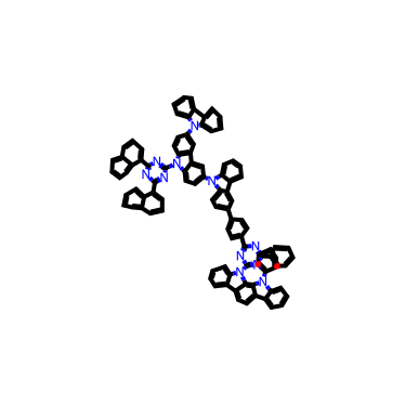 c1ccc(-c2nc(-c3ccc(-c4ccc5c(c4)c4ccccc4n5-c4ccc5c(c4)c4cc(-n6c7ccccc7c7ccccc76)ccc4n5-c4nc(-c5cccc6ccccc56)nc(-c5cccc6ccccc56)n4)cc3)nc(-n3c4ccccc4c4ccc5c6ccccc6n(-c6ccccc6)c5c43)n2)cc1